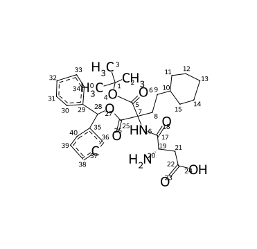 CC(C)(C)OC(=O)C(CCC1CCCCC1)(NC(=O)[C@@H](N)CC(=O)O)C(=O)OC(c1ccccc1)c1ccccc1